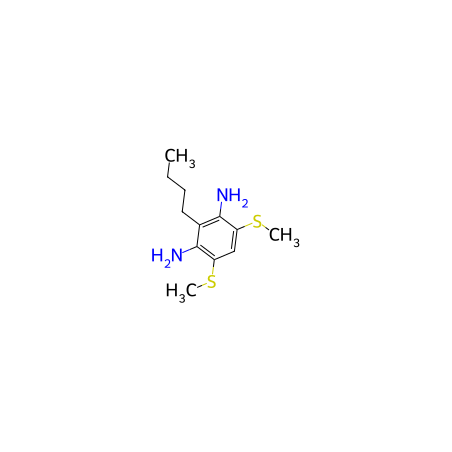 CCCCc1c(N)c(SC)cc(SC)c1N